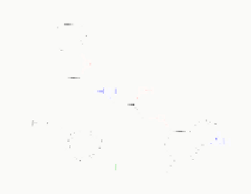 Cc1cc(OCC(O)CNCC(C)Oc2ccccc2)c2cc[nH]c2c1.O=C(O)c1ccc(Cl)cc1